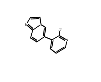 Clc1ncccc1-c1ccc2nccn2c1